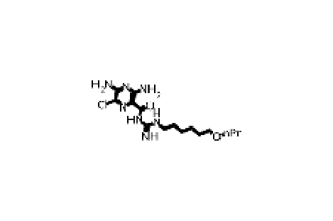 CCCOCCCCCCNC(=N)NC(=O)c1nc(Cl)c(N)nc1N